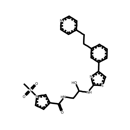 CS(=O)(=O)n1ccc(C(=O)NCC(O)Nc2nc(-c3cccc(CCc4ccncc4)c3)cs2)c1